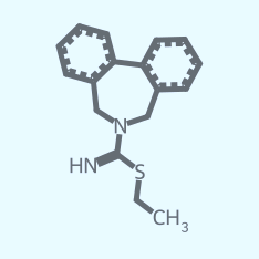 CCSC(=N)N1Cc2ccccc2-c2ccccc2C1